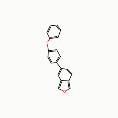 c1ccc(Oc2ccc(-c3ccc4cocc4c3)cc2)cc1